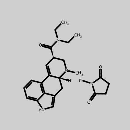 CCN(CC)C(=O)[C@@H]1C=C2c3cccc4[nH]cc(c34)C[C@H]2N(C)C1.O=C1CCC(=O)N1Cl